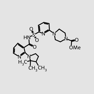 COC(=O)N1CCN(c2cccc(S(=O)(=O)NC(=O)c3cccnc3N3CCC(C)C3(C)C)n2)CC1